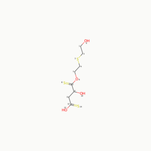 OCCSCCOC(=S)C(O)CC(O)=S